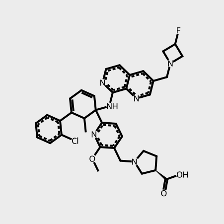 COc1nc(C2(Nc3nccc4cc(CN5CC(F)C5)cnc34)C=CC=C(c3ccccc3Cl)C2C)ccc1CN1CC[C@@H](C(=O)O)C1